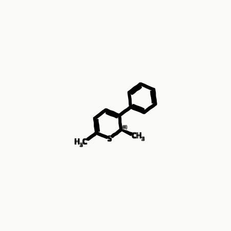 CC1=CC=C(c2ccccc2)[C@@H](C)S1